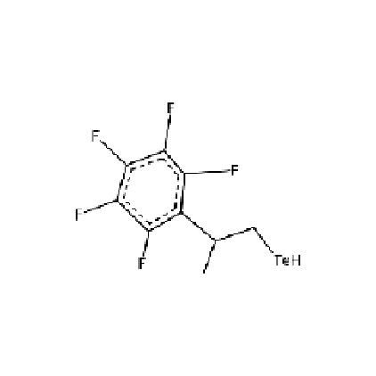 CC(C[TeH])c1c(F)c(F)c(F)c(F)c1F